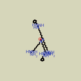 N=C(N)NCCCCCCCCCN(CCCCCCCCCNC(=N)NCc1ccccc1)C(=O)N(CCCCCCCCCNC(=N)N)CCCCCCCCCNC(=N)NCc1ccccc1